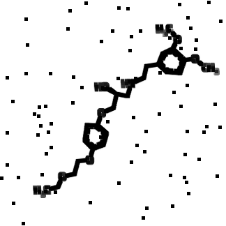 CCOCCOc1ccc(OC[C@@H](O)CNCCc2ccc(OC)c(OC)c2)cc1